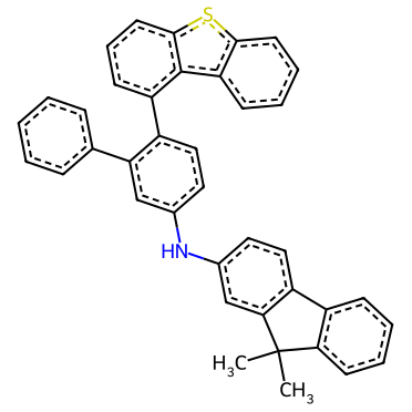 CC1(C)c2ccccc2-c2ccc(Nc3ccc(-c4cccc5sc6ccccc6c45)c(-c4ccccc4)c3)cc21